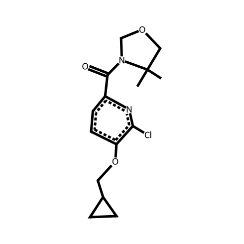 CC1(C)COCN1C(=O)c1ccc(OCC2CC2)c(Cl)n1